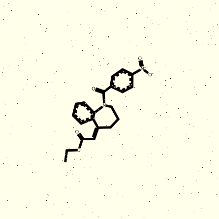 CCOC(=O)/C=C1/CCCN(C(=O)c2ccc([N+](=O)[O-])cc2)c2ccccc21